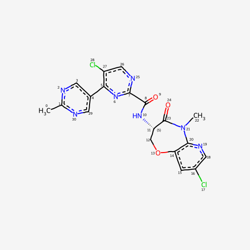 Cc1ncc(-c2nc(C(=O)N[C@H]3COc4cc(Cl)cnc4N(C)C3=O)ncc2Cl)cn1